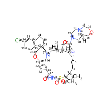 C[C@@H]1[C@@H](C)CCC/C(=C/C(=O)N2CCN3CCOC[C@H]3C2)[C@@H]2CC[C@H]2CN2C[C@@]3(CCCc4cc(Cl)ccc43)COc3ccc(cc32)C(=O)NS1(=O)=O